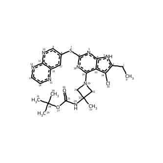 CCc1[nH]c2nc(Sc3cnc4nccnc4c3)nc(N3CC(C)(NC(=O)OC(C)(C)C)C3)c2c1Cl